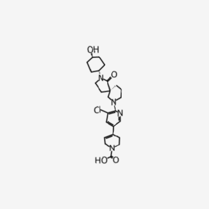 O=C(O)N1CC=C(c2cnc(N3CCC[C@@]4(CCN([C@H]5CC[C@H](O)CC5)C4=O)C3)c(Cl)c2)CC1